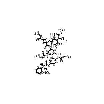 CN(C(=O)OC(C)(C)C)[C@@H]1[C@@H](O)[C@@H](O[C@H]2[C@H](NC(=O)C3(O)CN(C(=O)OC(C)(C)C)C3)C[C@H](NC(=O)OC(C)(C)C)C([C@H]3OC(CNS(=O)(=O)c4ccccc4[N+](=O)[O-])=CC[C@H]3NC(=O)OC(C)(C)C)[C@@H]2O)OC[C@]1(C)O